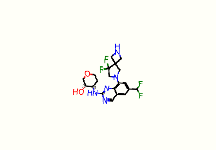 O[C@@H]1COCC[C@H]1Nc1ncc2cc(C(F)F)cc(N3CC(F)(F)C4(CNC4)C3)c2n1